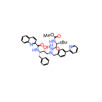 COC(=O)N[C@H](C(=O)NN(Cc1ccc(-c2ccccn2)cc1)C[C@@H](O)[C@H](Cc1ccccc1)NC(=O)c1ccc2ccccc2n1)C(C)(C)C